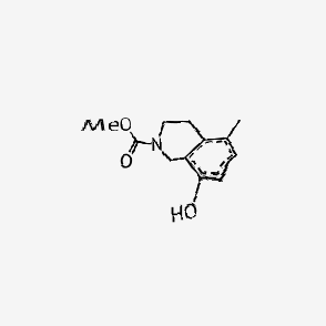 COC(=O)N1CCc2c(C)ccc(O)c2C1